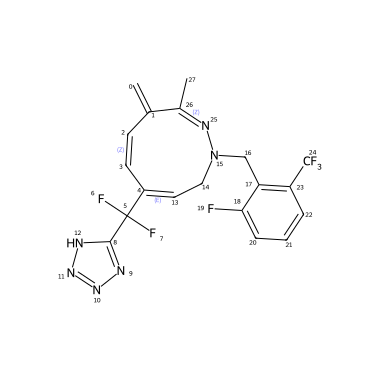 C=C1/C=C\C(C(F)(F)c2nnn[nH]2)=C/CN(Cc2c(F)cccc2C(F)(F)F)/N=C\1C